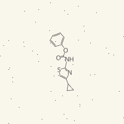 O=C(Nc1nc(C2CC2)cs1)Oc1ccccc1